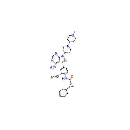 COc1cc(-c2nn(C3CCN(C4CCN(C)CC4)CC3)c3ncnc(N)c23)ccc1NC(=O)C1CC1c1ccccc1